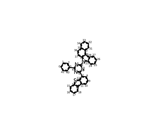 c1ccc(-c2nc(-c3cccc4c3sc3ccccc34)nc(-n3c4ccccc4c4c5ccccc5ccc43)n2)cc1